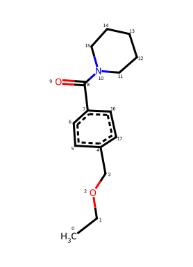 CCOCc1ccc(C(=O)N2CCCCC2)cc1